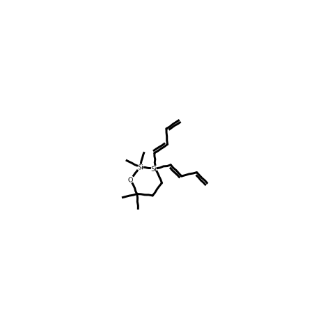 C=CC=C[Si]1(C=CC=C)CCC(C)(C)O[Si]1(C)C